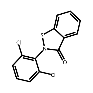 O=c1c2ccccc2sn1-c1c(Cl)cccc1Cl